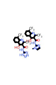 Cn1ccnc1NC(=O)c1c(C(F)(F)F)nc2c(C(F)(F)F)cccc2c1O.O=C(Nc1nnn[nH]1)c1c(C(F)(F)F)nc2c(C(F)(F)F)cccc2c1O